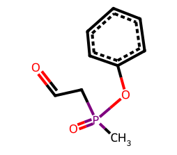 CP(=O)(CC=O)Oc1ccccc1